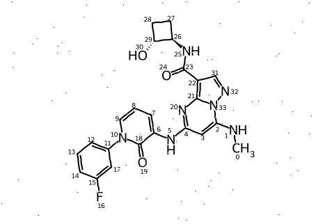 CNc1cc(Nc2cccn(-c3cccc(F)c3)c2=O)nc2c(C(=O)N[C@@H]3CC[C@H]3O)cnn12